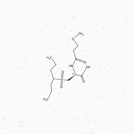 CCCC(CCC)S(=O)(=O)C[C@@H](NC(=O)CCOC)C(=O)O